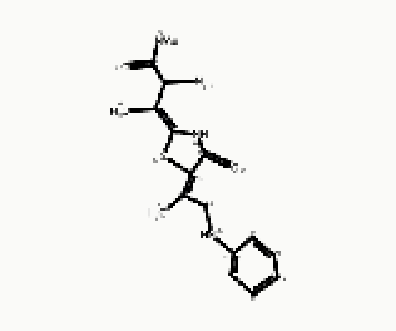 CNC(=O)C(N)/C(C)=c1\[nH]c(=O)/c(=C(/C)CNc2ccccc2)s1